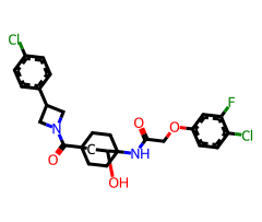 O=C(COc1ccc(Cl)c(F)c1)NC12CCC(C(=O)N3CC(c4ccc(Cl)cc4)C3)(CC1)CC2O